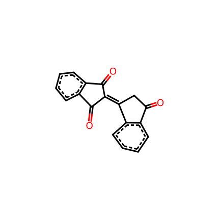 O=C1CC(=C2C(=O)c3ccccc3C2=O)c2ccccc21